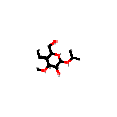 C/C=C1\C(CO)OC(OC(C)C)C(O)C1OC